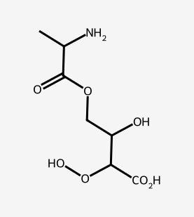 CC(N)C(=O)OCC(O)C(OO)C(=O)O